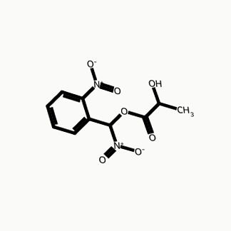 CC(O)C(=O)OC(c1ccccc1[N+](=O)[O-])[N+](=O)[O-]